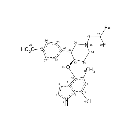 Cc1cc(Cl)c2[nH]ccc2c1O[C@@H]1CCN(CC(F)F)C[C@H]1c1ccc(C(=O)O)cc1